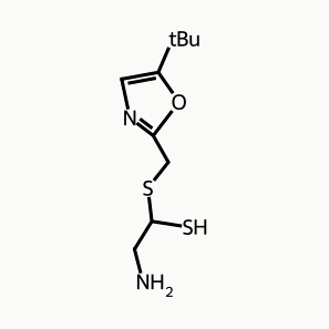 CC(C)(C)c1cnc(CSC(S)CN)o1